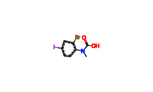 CN(C(=O)O)c1ccc(I)cc1Br